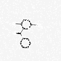 O=C(c1ccccc1)c1nc([N+](=O)[O-])ccc1Cl